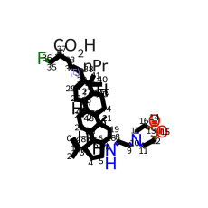 C=C(C)[C@@H]1CC[C@]2(NCCN3CCS(=O)(=O)CC3)CC[C@]3(C)[C@H](CC[C@@H]4[C@@]5(C)CC=C(/C(=C/CC(CF)C(=O)O)CCC)C(C)(C)[C@@H]5CC[C@]43C)[C@@H]12